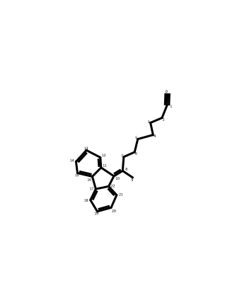 C#CCCCCCCC(C)=C1c2ccccc2-c2ccccc21